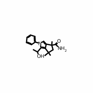 CC(O)c1c2c(cn1-c1ccccc1)C(C)(C(N)=O)CC2(C)C